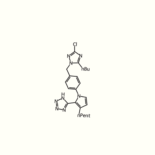 CCCCCc1ccn(-c2ccc(Cn3nc(Cl)nc3CCCC)cc2)c1-c1nnn[nH]1